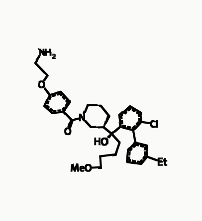 CCc1cccc(-c2c(Cl)cccc2[C@](O)(CCCCOC)[C@@H]2CCCN(C(=O)c3ccc(OCCN)cc3)C2)c1